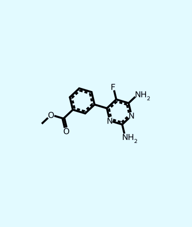 COC(=O)c1cccc(-c2nc(N)nc(N)c2F)c1